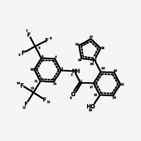 O=C(Nc1cc(C(F)(F)F)cc(C(F)(F)F)c1)c1c(O)cccc1-n1cccc1